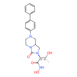 C[C@@H](O)[C@@H](C(=O)NO)N1CC2CN(c3ccc(-c4ccccc4)cc3)CCN2C1=O